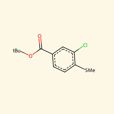 CSc1ccc(C(=O)OC(C)(C)C)cc1Cl